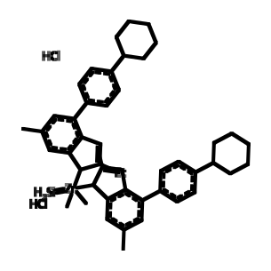 CCC1=Cc2c(-c3ccc(C4CCCCC4)cc3)cc(C)cc2[CH]1[Zr]([CH3])([CH3])(=[SiH2])[CH]1C(C)=Cc2c(-c3ccc(C4CCCCC4)cc3)cc(C)cc21.Cl.Cl